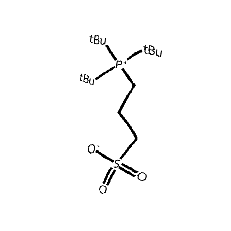 CC(C)(C)[P+](CCCS(=O)(=O)[O-])(C(C)(C)C)C(C)(C)C